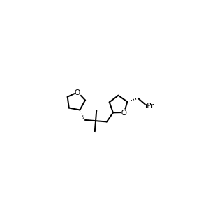 CC(C)C[C@H]1CCC(CC(C)(C)C[C@@H]2CCOC2)O1